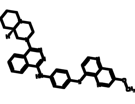 COc1cnc2c(Sc3ccc(Nc4nnc(N5CCN6CCCC[C@@H]6C5)c5ccccc45)cc3)ccnc2c1